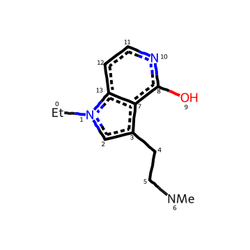 CCn1cc(CCNC)c2c(O)nccc21